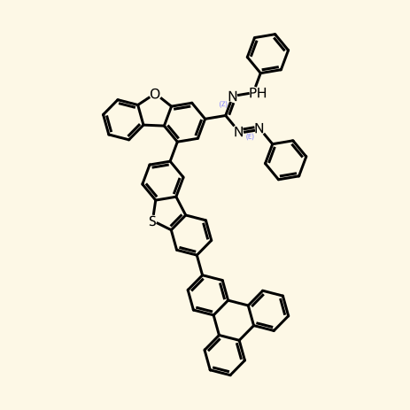 c1ccc(/N=N/C(=N\Pc2ccccc2)c2cc(-c3ccc4sc5cc(-c6ccc7c8ccccc8c8ccccc8c7c6)ccc5c4c3)c3c(c2)oc2ccccc23)cc1